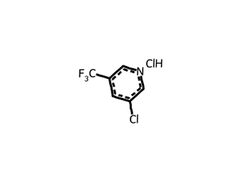 Cl.FC(F)(F)c1cncc(Cl)c1